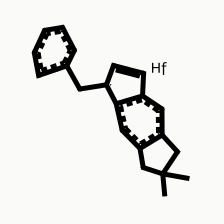 CC1(C)Cc2cc3c(cc2C1)[C](Cc1ccccc1)C=C3.[Hf]